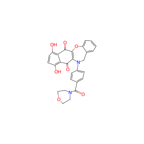 O=C1C2=C(C(=O)c3c(O)ccc(O)c31)N(c1ccc(C(=O)N3CCOCC3)cc1)Cc1ccccc1O2